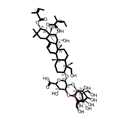 C/C=C(/C)C(=O)O[C@H]1[C@H](OC(=O)/C(C)=C\C)[C@@]2(CO)C(CC1(C)C)C1=CCC3[C@@]4(C)CC[C@H](O[C@@H]5OC(C(=O)O)[C@@H](O)C(OC6O[C@@H](CO)[C@@H](O)C6O)[C@@H]5O[C@@H]5OC(CO)[C@@H](O)C(O)[C@@H]5O)[C@@](C)(CO)C4CC[C@@]3(C)[C@]1(C)[C@@H](O)[C@H]2O